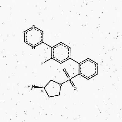 N[C@@H]1CCN(S(=O)(=O)c2ccccc2-c2ccc(-c3cnccn3)c(F)c2)C1